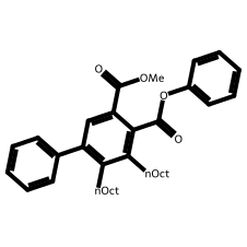 CCCCCCCCc1c(-c2ccccc2)cc(C(=O)OC)c(C(=O)Oc2ccccc2)c1CCCCCCCC